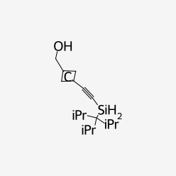 CC(C)C([SiH2]C#CC12CC(CO)(C1)C2)(C(C)C)C(C)C